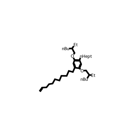 C=CCCCCCCCCCc1cc(OCC(CC)CCCC)c(CCCCCCC)cc1OCC(CC)CCCC